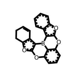 C1=Cc2c(oc3c2B2c4c(cccc4Oc4oc5ccccc5c42)O3)CC1